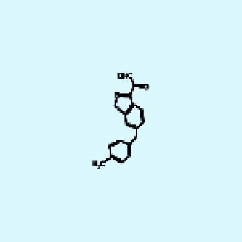 Cc1ccc(Cc2ccc3c(c2)CN=C3C(=O)C=O)cc1